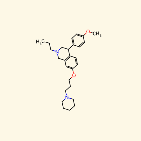 CCCN1Cc2cc(OCCCN3CCCCC3)ccc2C(c2ccc(OC)cc2)C1